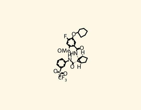 COc1cc(F)c(OC2CCCCC2)cc1C(=O)N[C@@H]1[C@H]2CC[C@H](C2)[C@@H]1C(=O)Nc1cccc(S(=O)(=O)C(F)(F)F)c1